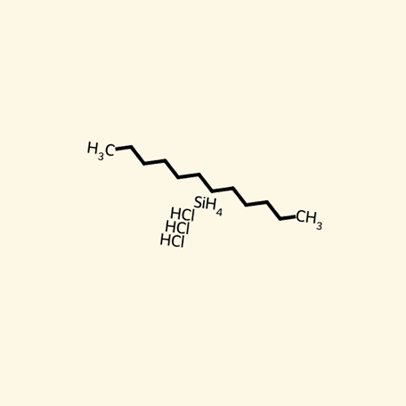 CCCCCCCCCCCC.Cl.Cl.Cl.[SiH4]